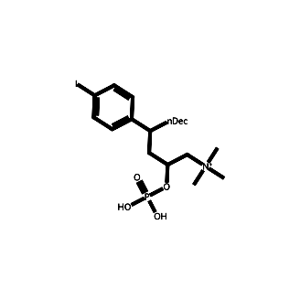 CCCCCCCCCCC(CC(C[N+](C)(C)C)OP(=O)(O)O)c1ccc(I)cc1